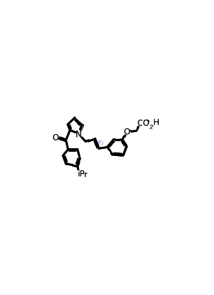 CC(C)c1ccc(C(=O)c2cccn2C/C=C/c2cccc(OCC(=O)O)c2)cc1